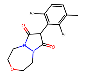 CCc1ccc(C)c(CC)c1C1C(=O)N2CCOCCN2C1=O